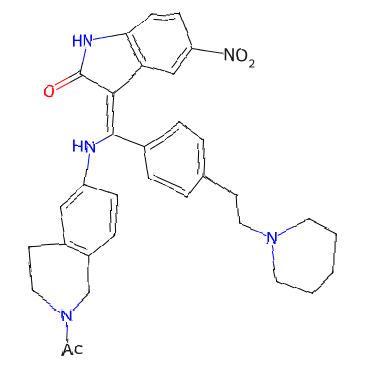 CC(=O)N1CCc2cc(N/C(=C3\C(=O)Nc4ccc([N+](=O)[O-])cc43)c3ccc(CCN4CCCCC4)cc3)ccc2C1